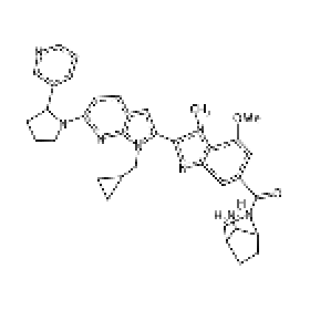 COc1cc(C(=O)N2CC3CCC2[C@@H]3N)cc2nc(-c3cc4ccc(N5CCCC5c5cccnc5)nc4n3CC3CC3)n(C)c12